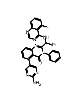 CC(C)C(Nc1ncnc2cccc(F)c12)c1nc2cccc(-c3cnc(N)nc3)c2c(=O)n1-c1ccccc1